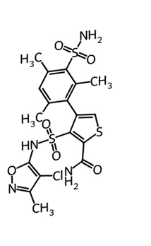 Cc1cc(C)c(S(N)(=O)=O)c(C)c1-c1csc(C(N)=O)c1S(=O)(=O)Nc1onc(C)c1Cl